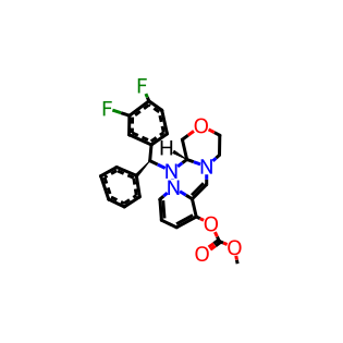 COC(=O)OC1=CC=CN2C1=CN1CCOC[C@H]1N2[C@@H](c1ccccc1)c1ccc(F)c(F)c1